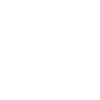 NC(=O)c1cc(-c2ccc(F)cc2)c2cccc(F)c2n1